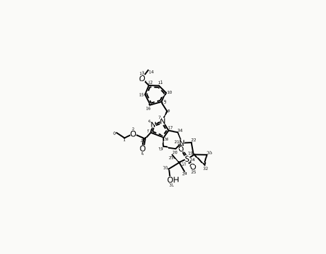 CCOC(=O)c1nn(Cc2ccc(OC)cc2)c2c1CCN(CC1(S(=O)(=O)C(C)(C)CO)CC1)C2